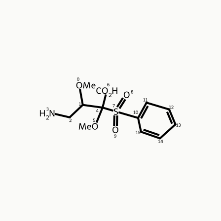 COC(CN)C(OC)(C(=O)O)S(=O)(=O)c1ccccc1